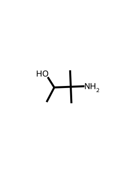 CC(O)C(C)(C)N